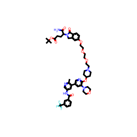 Cc1ncc(NC(=O)c2cccc(C(F)(F)F)c2)cc1-c1cnc(OC2CCN(CCOCCOCCOc3ccc4c(c3)CN(C(CCC(=O)OC(C)(C)C)C(N)=O)C4=O)CC2)c(N2CCOCC2)c1